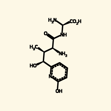 C[C@@H]([C@H](N)C(=O)N[C@@H](N)C(=O)O)[C@H](O)c1cccc(O)n1